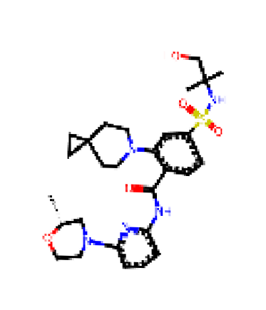 C[C@@H]1CN(c2cccc(NC(=O)c3ccc(S(=O)(=O)NC(C)(C)CO)cc3N3CCC4(CC3)CC4)n2)CCO1